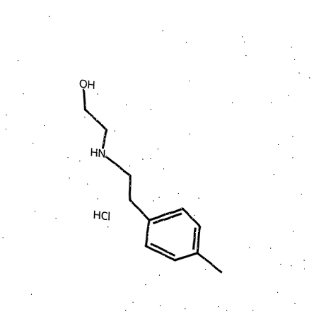 Cc1ccc(CCNCCO)cc1.Cl